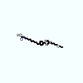 CCCOCCCCOc1cnc(-c2ccc(CCCCCCCC/C=C/C(=O)O)cc2)nc1